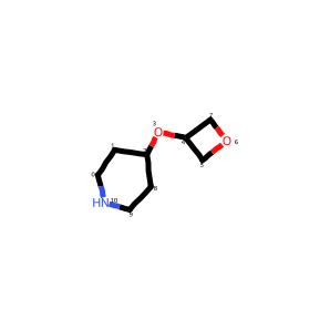 C1CC(OC2COC2)CCN1